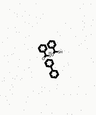 O=C(S)c1ccccc1.O=C(S)c1ccccc1.c1ccc(-c2ccccc2)cc1